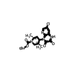 C[C@@H]1CC(n2c(=O)c(=O)[nH]c3cc(Cl)cnc32)[C@@H](C)CN1C(=O)OC(C)(C)C